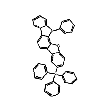 c1ccc(-n2c3ccccc3c3ccc4c5cc([Si](c6ccccc6)(c6ccccc6)c6ccccc6)ccc5oc4c32)cc1